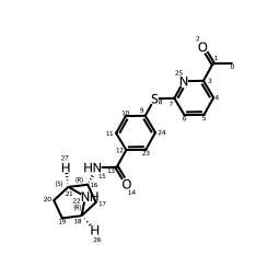 CC(=O)c1cccc(Sc2ccc(C(=O)N[C@@H]3C[C@H]4CC[C@@H]3N4)cc2)n1